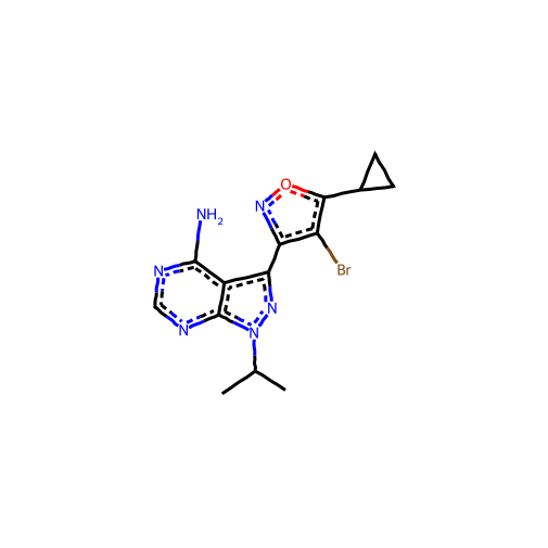 CC(C)n1nc(-c2noc(C3CC3)c2Br)c2c(N)ncnc21